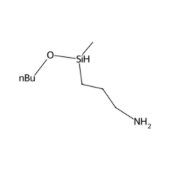 CCCCO[SiH](C)CCCN